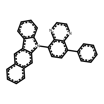 c1ccc(-c2ccc(-n3c4ccccc4c4cc5ccccc5cc43)c3nccnc23)cc1